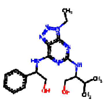 CCn1nnc2c(NC(CO)c3ccccc3)nc(NC(CO)C(C)C)nc21